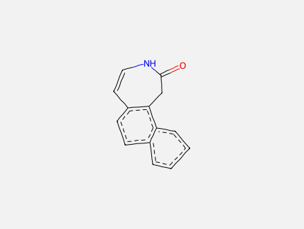 O=C1Cc2c(ccc3ccccc23)C=CN1